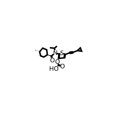 CC(C)N(c1sc(C#CC2CC2)cc1OC(=O)O)C(=O)[C@H]1CC[C@H](C)CC1